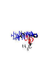 CCCOC[C@@H](NC(=O)Nc1cc(N)c(C(=N)N)cn1)c1ccccc1